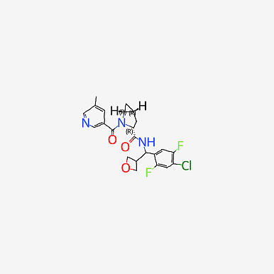 Cc1cncc(C(=O)N2[C@@H](C(=O)NC(c3cc(F)c(Cl)cc3F)C3COC3)C[C@H]3C[C@H]32)c1